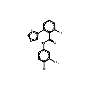 O=C(Nc1ccc(Br)c(C(F)(F)F)c1)c1c(Cl)cccc1-n1cncn1